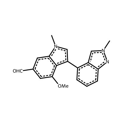 COc1cc(C=O)cc2c1c(-c1cccc3nn(C)cc13)cn2C